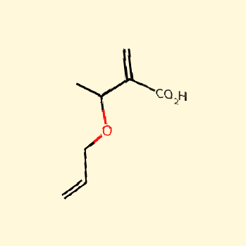 C=CCOC(C)C(=C)C(=O)O